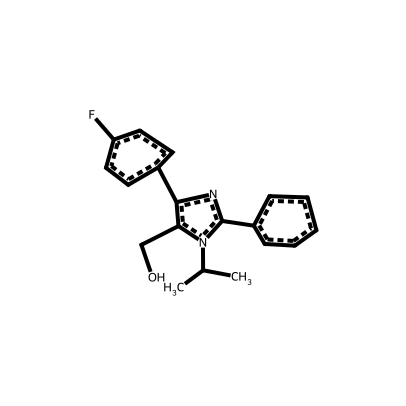 CC(C)n1c(-c2ccccc2)nc(-c2ccc(F)cc2)c1CO